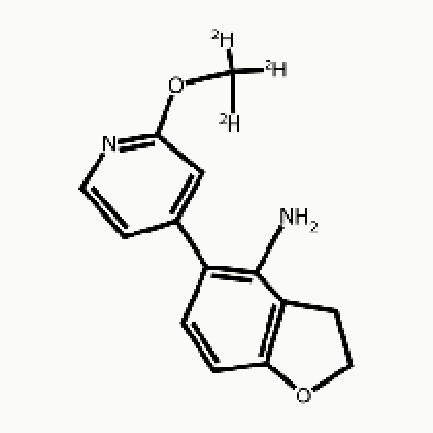 [2H]C([2H])([2H])Oc1cc(-c2ccc3c(c2N)CCO3)ccn1